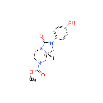 CC(C)(C)OC(=O)N1CCN2C(=O)N(c3ccc(O)cc3)C[C@@H]2C1